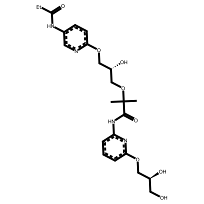 CCC(=O)Nc1ccc(OC[C@H](O)COC(C)(C)C(=O)Nc2cccc(OC[C@@H](O)CO)n2)nc1